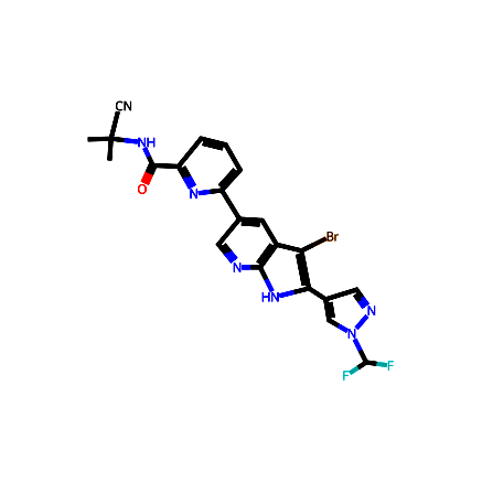 CC(C)(C#N)NC(=O)c1cccc(-c2cnc3[nH]c(-c4cnn(C(F)F)c4)c(Br)c3c2)n1